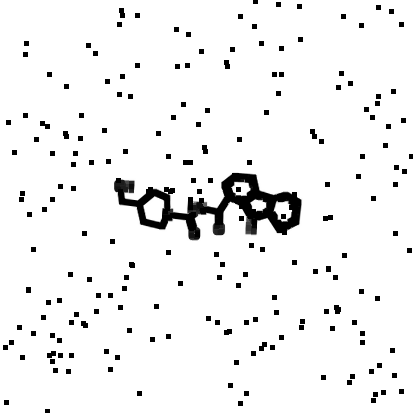 O=C(NC(=O)N1CCC(CO)CC1)c1cccc2c1[nH]c1ccccc12